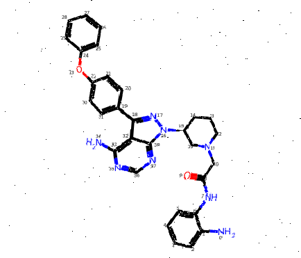 Nc1ccccc1NC(=O)CN1CCC[C@H](n2nc(-c3ccc(Oc4ccccc4)cc3)c3c(N)ncnc32)C1